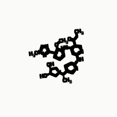 CCC(=O)c1cnc(Nc2ccc([C@H](C)N3C[C@@H](O)[C@H](O)C3)cn2)cc1Nc1cccc(-c2ncn(C)n2)c1OC